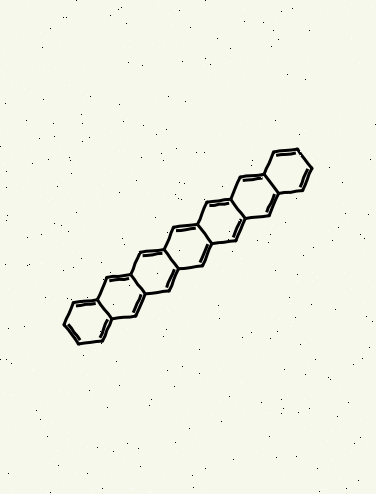 c1ccc2cc3cc4cc5cc6cc7ccccc7cc6cc5cc4cc3cc2c1